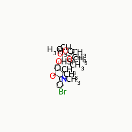 Cn1c2c(c3ccc(Br)cc31)C(=O)c1ccc(OC[C@H]3OC(C)(C)OC3C(O[SiH](C)C)C(C)(C)C)cc1C2(C)C